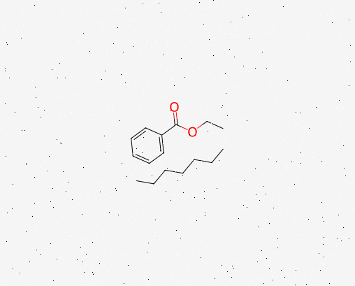 CCCCCCC.CCOC(=O)c1ccccc1